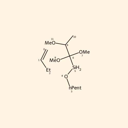 C=CCC.CCCCCO[SiH2]C(OC)(OC)C(C)OC